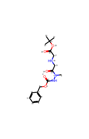 CN(NC(=O)OCc1ccccc1)C(=O)CNCC(=O)OC(C)(C)C